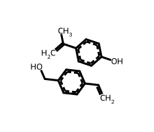 C=C(C)c1ccc(O)cc1.C=Cc1ccc(CO)cc1